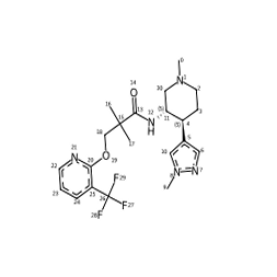 CN1CC[C@@H](c2cnn(C)c2)[C@H](NC(=O)C(C)(C)COc2ncccc2C(F)(F)F)C1